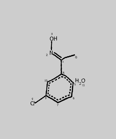 CC(=NO)c1cccc(Cl)c1.O